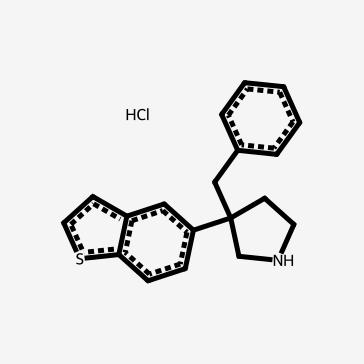 Cl.c1ccc(CC2(c3ccc4sccc4c3)CCNC2)cc1